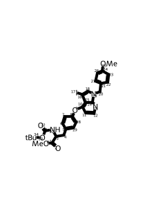 COC(=O)C(Cc1ccc(Oc2ccnc3c2c(I)cn3Cc2ccc(OC)cc2)cc1)NC(=O)OC(C)(C)C